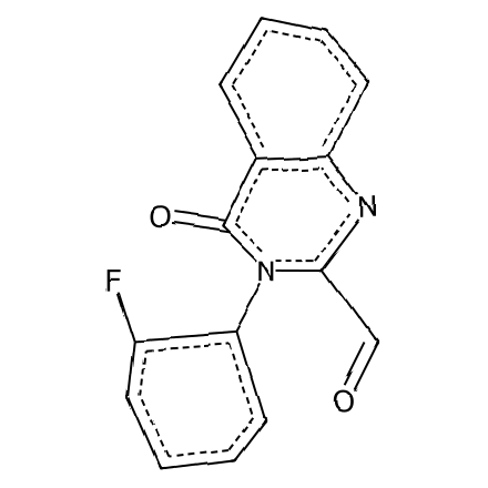 O=Cc1nc2ccccc2c(=O)n1-c1ccccc1F